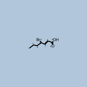 CCCC(Br)C=CC(=O)O